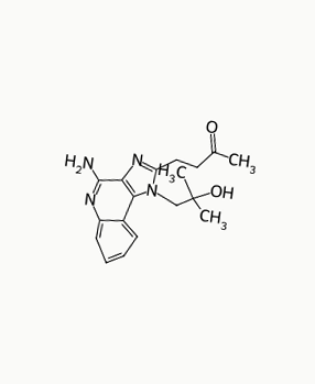 CC(=O)CCc1nc2c(N)nc3ccccc3c2n1CC(C)(C)O